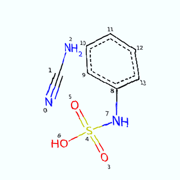 N#CN.O=S(=O)(O)Nc1ccccc1